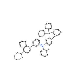 Cc1ccccc1N(c1cccc(-c2ccc(C3CCCCC3)c3ccccc23)c1)c1ccc2c(c1)C(c1ccccc1)(c1ccccc1)c1ccccc1-2